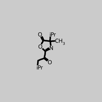 CC(C)CC(=O)C1=NC(C)(C(C)C)C(=O)O1